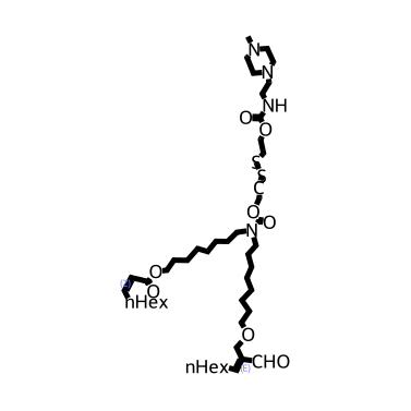 CCCCCC/C=C\C(=O)OCCCCCCCCN(CCCCCCCCOC/C(C=O)=C\CCCCCC)C(=O)OCCSSCCOC(=O)NCCN1CCN(C)CC1